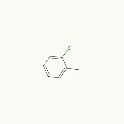 [CH2]c1ccccc1Cl